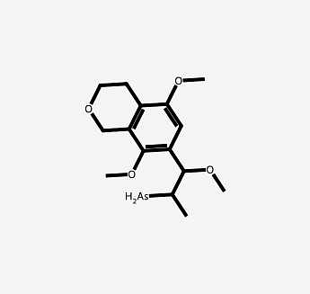 COc1cc(C(OC)C(C)[AsH2])c(OC)c2c1CCOC2